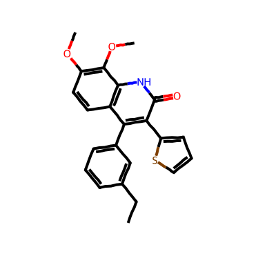 CCc1cccc(-c2c(-c3cccs3)c(=O)[nH]c3c(OC)c(OC)ccc23)c1